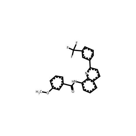 COc1cccc(C(=O)Nc2cccc3ccc(-c4cccc(C(F)(F)F)c4)nc23)c1